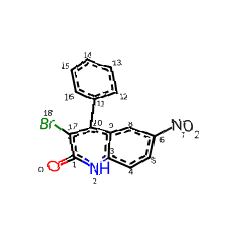 O=c1[nH]c2ccc([N+](=O)[O-])cc2c(-c2ccccc2)c1Br